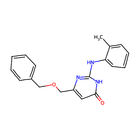 Cc1ccccc1Nc1nc(COCc2ccccc2)cc(=O)[nH]1